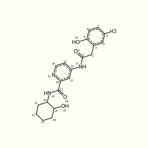 O=C(Cc1cc(Cl)ccc1O)Nc1ccnc(C(=O)NC2CCCCC2O)c1